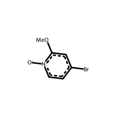 COc1cc(Br)cc[n+]1[O-]